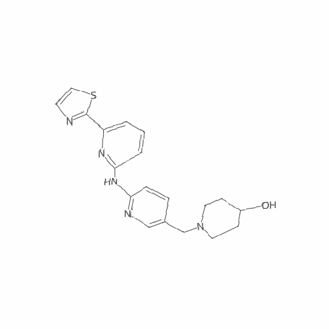 OC1CCN(Cc2ccc(Nc3cccc(-c4nccs4)n3)nc2)CC1